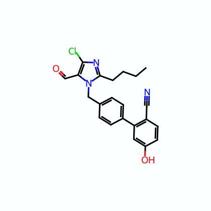 CCCCc1nc(Cl)c(C=O)n1Cc1ccc(-c2cc(O)ccc2C#N)cc1